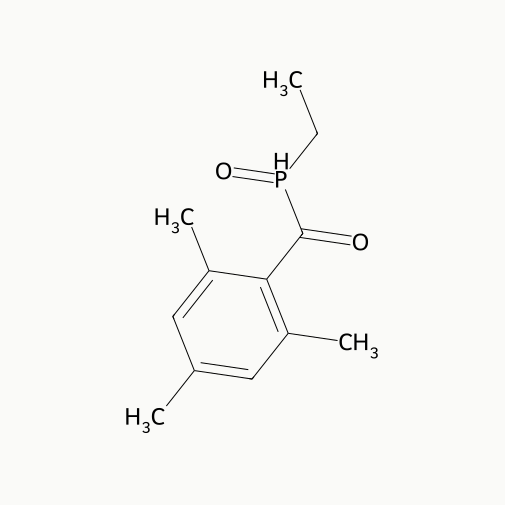 CC[PH](=O)C(=O)c1c(C)cc(C)cc1C